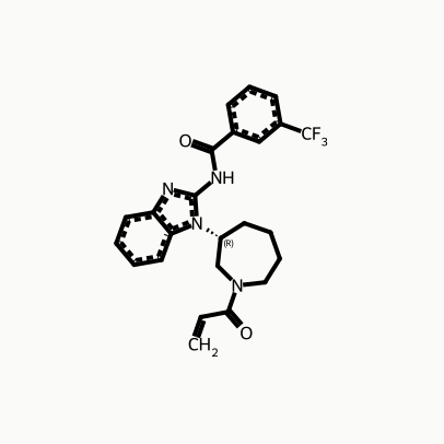 C=CC(=O)N1CCCC[C@@H](n2c(NC(=O)c3cccc(C(F)(F)F)c3)nc3ccccc32)C1